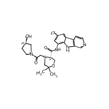 CC1(C)CN(CC(=O)N2CC[C@@H](O)C2)[C@H](C(=O)Nc2cc(Cl)cc3c2[nH]c2cnccc23)CO1